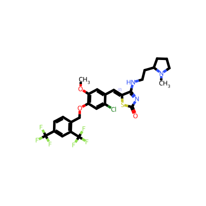 COc1cc(/C=C2\SC(=O)N=C2NCCC2CCCN2C)c(Cl)cc1OCc1ccc(C(F)(F)F)cc1C(F)(F)F